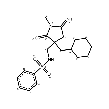 CN1C(=N)CC(CNS(=O)(=O)c2ccccc2)(CC2CCCCC2)C1=O